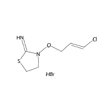 Br.N=C1SCCN1OCC=CCl